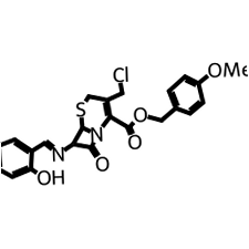 COc1ccc(COC(=O)C2=C(CCl)CSC3C(N=Cc4ccccc4O)C(=O)N23)cc1